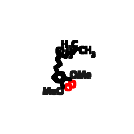 COC(=O)c1ccc(CCC=C(C)CCC=C(C)C)cc1C(=O)OC